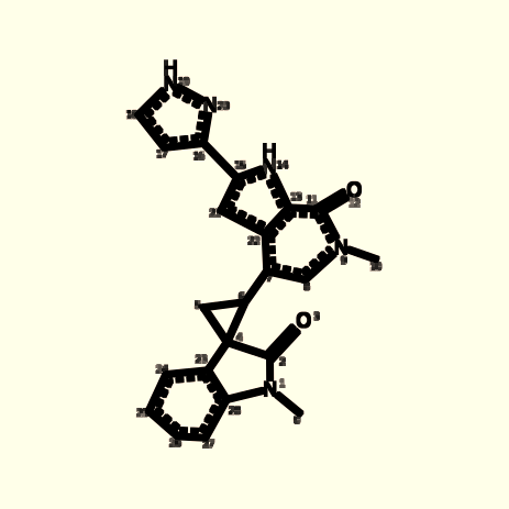 CN1C(=O)C2(CC2c2cn(C)c(=O)c3[nH]c(-c4cc[nH]n4)cc23)c2ccccc21